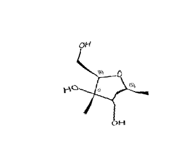 C[C@@H]1O[C@H](CO)[C@@](C)(O)C1O